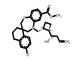 C=CC[C@H](O)[C@@H]1CC[C@H]1CN1CC2(CCCc3cc(Cl)ccc32)COc2ccc(C(=O)OC)cc21